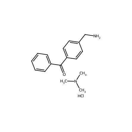 CN(C)C.Cl.NCc1ccc(C(=O)c2ccccc2)cc1